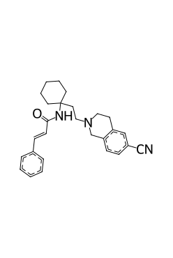 N#Cc1ccc2c(c1)CCN(CCC1(NC(=O)C=Cc3ccccc3)CCCCC1)C2